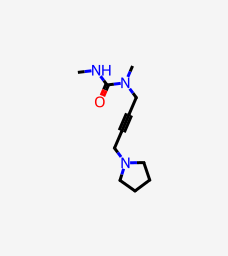 CNC(=O)N(C)CC#CCN1CCCC1